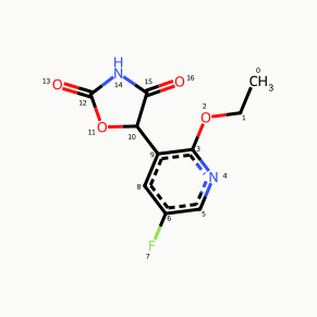 CCOc1ncc(F)cc1C1OC(=O)NC1=O